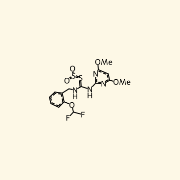 COc1cc(OC)nc(NC(NCc2ccccc2OC(F)F)=S=S(=O)=O)n1